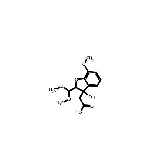 COc1cccc2c1OC(C(OC)OC)C2(O)CC(=O)O